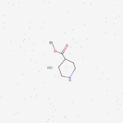 CCOC(=O)C1CCNCC1.Cl